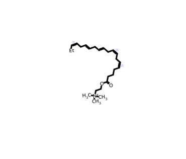 CC/C=C\CC=CCC=CC/C=C\C/C=C\CCCC(=O)OCC[N+](C)(C)C